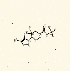 Cc1c(Br)cnn1C1CCN(C(=O)OC(C)(C)C)CC1(F)F